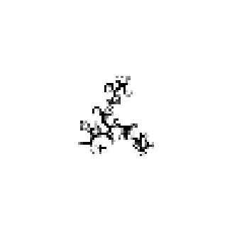 CC(O)C1C(=O)N2C(C(=O)OCOC(=O)C(C)(C)C)=C(SC3CN(C4=NCCS4)C3)C(C)C12